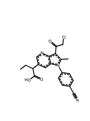 CCC(C(=O)O)c1cnc2c(C(=O)CCl)c(C)n(-c3ccc(C#N)cc3)c2c1